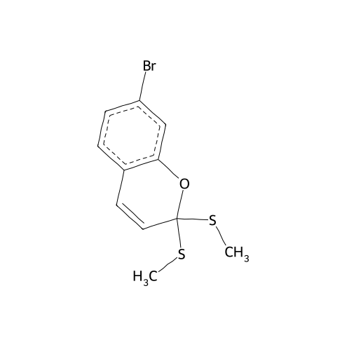 CSC1(SC)C=Cc2ccc(Br)cc2O1